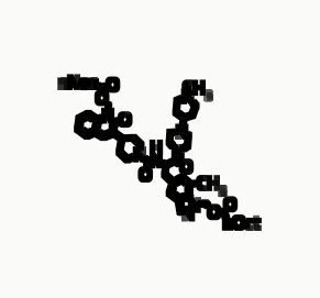 CCCCCCCCCC(=O)OCn1c(=O)c(C2CCN(C(=O)NC(Cc3cc(C)c4c(cnn4COC(=O)CCCCCCCC)c3)C(=O)N3CCN(C4CCN(C)CC4)CC3)CC2)cc2ccccc21